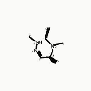 C=CN(C)C(=C)/C=N\NC